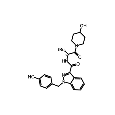 CC(C)(C)[C@H](NC(=O)c1nn(Cc2ccc(C#N)cc2)c2ccccc12)C(=O)N1CCC(O)CC1